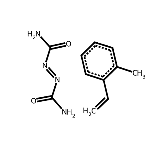 C=Cc1ccccc1C.NC(=O)N=NC(N)=O